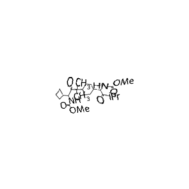 COC(=O)NC(C(=O)C(C)C)C1CCC(C(C)(C)C(=O)C(NC(=O)OC)C2CCC2)CC1